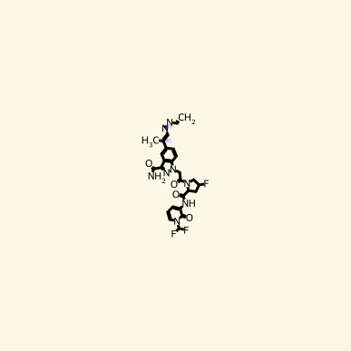 C=C/N=N\C=C(/C)c1ccc2c(c1)c(C(N)=O)nn2CC(=O)N1CC(F)CC1C(=O)Nc1cccn(C(F)F)c1=O